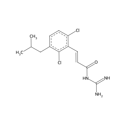 CC(C)Cc1ccc(Cl)c(C=CC(=O)NC(=N)N)c1Cl